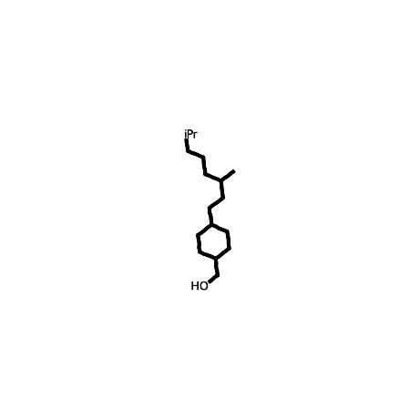 CC(C)CCCC(C)CCC1CCC(CO)CC1